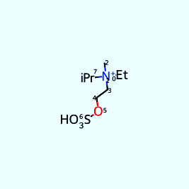 CC[N+](C)(CCOS(=O)(=O)O)C(C)C